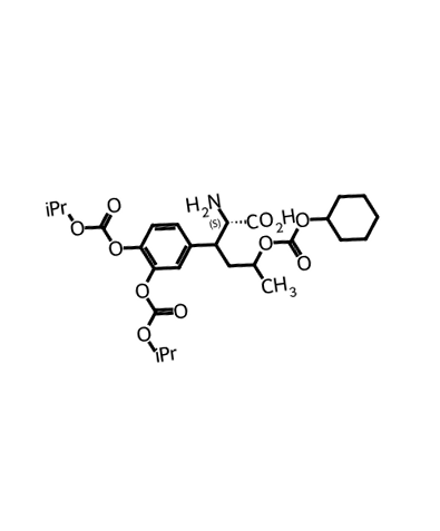 CC(C)OC(=O)Oc1ccc(C(CC(C)OC(=O)OC2CCCCC2)[C@H](N)C(=O)O)cc1OC(=O)OC(C)C